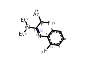 CCN(CC)/C(=N/c1ccccc1F)C(F)C(C)=O